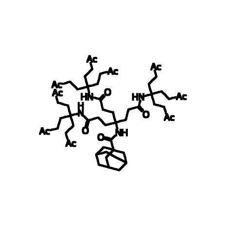 CC(=O)CCC(CCC(C)=O)(CCC(C)=O)NC(=O)CCC(CCC(=O)NC(CCC(C)=O)(CCC(C)=O)CCC(C)=O)(CCC(=O)NC(CCC(C)=O)(CCC(C)=O)CCC(C)=O)NC(=O)C12CC3CC(CC(C3)C1)C2